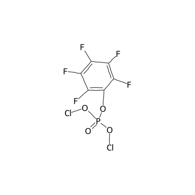 O=P(OCl)(OCl)Oc1c(F)c(F)c(F)c(F)c1F